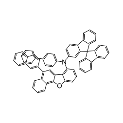 c1ccc(-c2ccc(N(c3ccc4c(c3)C3(c5ccccc5-c5ccccc53)c3ccccc3-4)c3cccc4oc5c6ccccc6c(-c6ccc7ccccc7c6)cc5c34)cc2)cc1